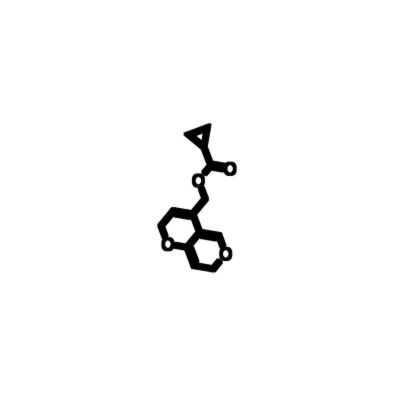 O=C(OCC1=CCOC2=CCOC=C12)C1CC1